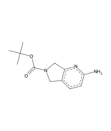 CC(C)(C)OC(=O)N1Cc2ccc(N)nc2C1